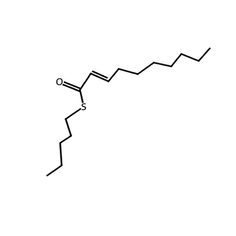 CCCCCCC/C=C/C(=O)SCCCCC